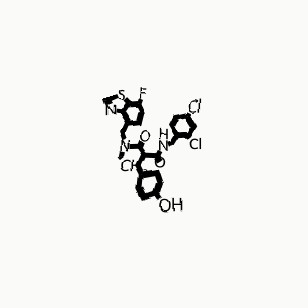 CCN(Cc1ccc(F)c2scnc12)C(=O)C(Cc1ccc(O)cc1)C(=O)NCc1ccc(Cl)cc1Cl